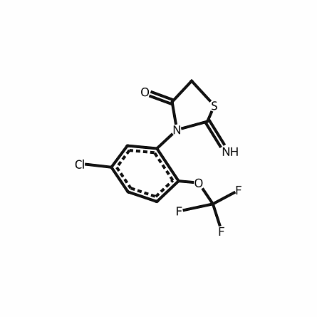 N=C1SCC(=O)N1c1cc(Cl)ccc1OC(F)(F)F